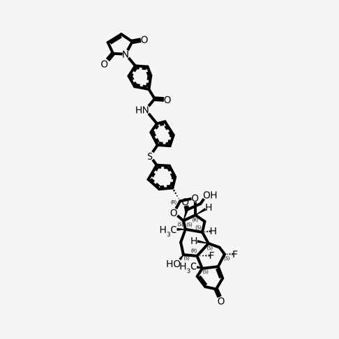 C[C@]12C=CC(=O)C=C1[C@@H](F)C[C@H]1[C@@H]3C[C@H]4O[C@@H](c5ccc(Sc6cccc(NC(=O)c7ccc(N8C(=O)C=CC8=O)cc7)c6)cc5)O[C@@]4(C(=O)CO)[C@@]3(C)C[C@H](O)[C@@]12F